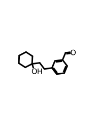 O=Cc1cccc(CCC2(O)CCCCC2)c1